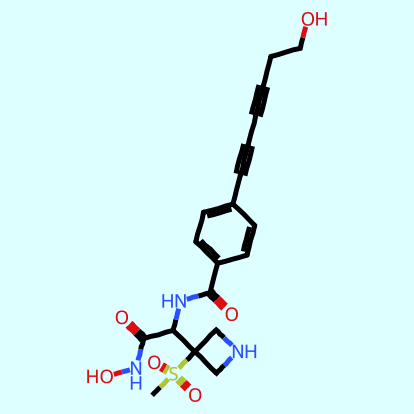 CS(=O)(=O)C1(C(NC(=O)c2ccc(C#CC#CCCO)cc2)C(=O)NO)CNC1